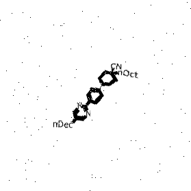 CCCCCCCCCCc1cnc(-c2ccc([C@H]3CC[C@@](C#N)(CCCCCCCC)CC3)cc2)nc1